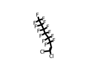 FC(F)(F)C(F)(F)C(F)(F)C(F)(F)C(F)(F)C(F)(F)C=C(Cl)Cl